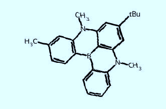 Cc1ccc2c(c1)N(C)c1cc(C(C)(C)C)cc3c1B2c1ccccc1N3C